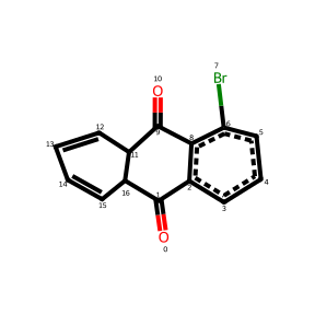 O=C1c2cccc(Br)c2C(=O)C2C=CC=CC12